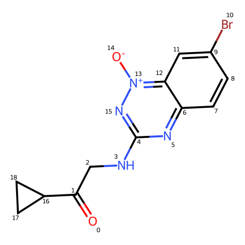 O=C(CNc1nc2ccc(Br)cc2[n+]([O-])n1)C1CC1